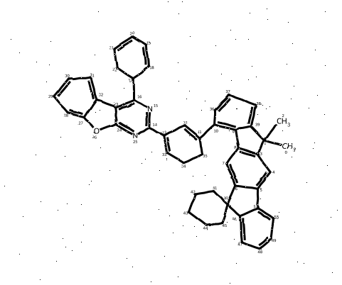 CC1(C)c2cc3c(cc2-c2c(C4=CC(c5nc(C6C=CC=CC6)c6c(n5)oc5ccccc56)=CCC4)cccc21)C1(CCCCC1)c1ccccc1-3